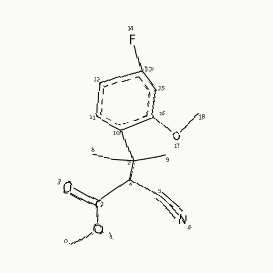 COC(=O)C(C#N)C(C)(C)c1ccc(F)cc1OC